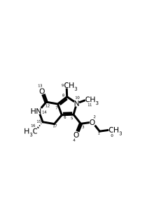 CCOC(=O)c1c2c(c(C)n1C)C(=O)N[C@@H](C)C2